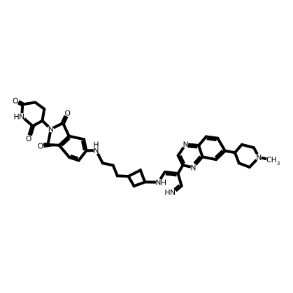 CN1CCC(c2ccc3ncc(/C(C=N)=C/NC4CC(CCCNc5ccc6c(c5)C(=O)N(C5CCC(=O)NC5=O)C6=O)C4)nc3c2)CC1